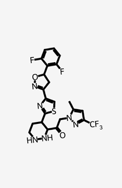 Cc1cc(C(F)(F)F)nn1CC(=O)C1NNCCC1c1nc(C2=NOC(c3c(F)cccc3F)C2)cs1